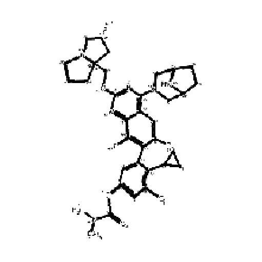 CN(C)C(=O)Oc1cc(Cl)c(C2CC2)c(-c2c(Cl)cc3c(N4CC5CCC(C4)N5)nc(OC[C@@]45CCCN4C[C@H](F)C5)nc3c2F)c1